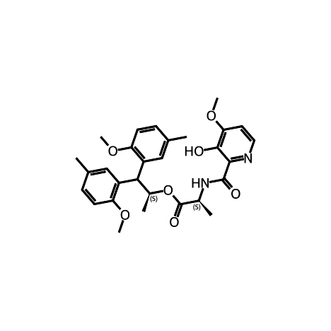 COc1ccc(C)cc1C(c1cc(C)ccc1OC)[C@H](C)OC(=O)[C@H](C)NC(=O)c1nccc(OC)c1O